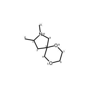 CC1CC2(COCCO2)CN1C